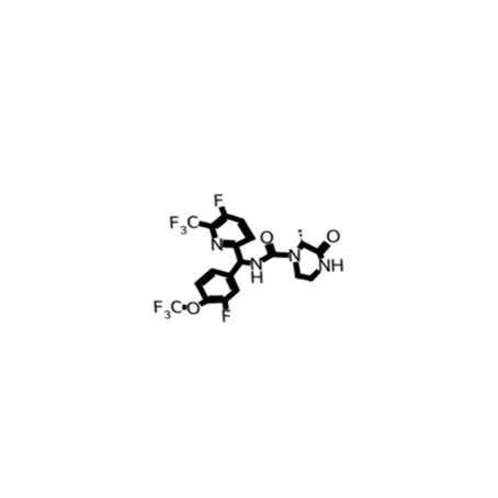 C[C@@H]1C(=O)NCCN1C(=O)NC(c1ccc(OC(F)(F)F)c(F)c1)c1ccc(F)c(C(F)(F)F)n1